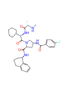 CN[C@@H](C)C(=O)N[C@@H](C(=O)N1C[C@@H](NC(=O)c2ccc(F)cc2)C[C@H]1C(=O)N[C@@H]1CCCc2ccccc21)C1CCCCC1